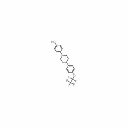 Oc1ccc(N2CCC(c3ccc(OC(F)(F)C(F)(F)F)cc3)CC2)cc1